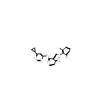 Clc1cccc(Cl)c1-n1cc2c(Nc3cc(C4CC4)ncn3)nccc2n1